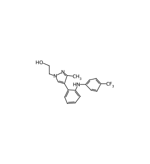 Cc1nn(CCO)cc1-c1ccccc1Nc1ccc(C(F)(F)F)cc1